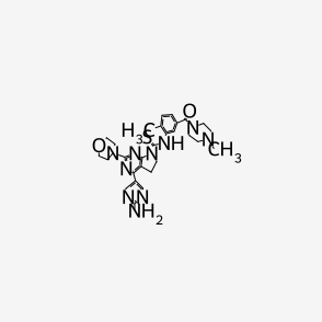 Cc1ccc(C(=O)N2CCN(C)CC2)cc1NC(=S)N1CCc2c(-c3cnc(N)nc3)nc(N3CCOCC3)nc21